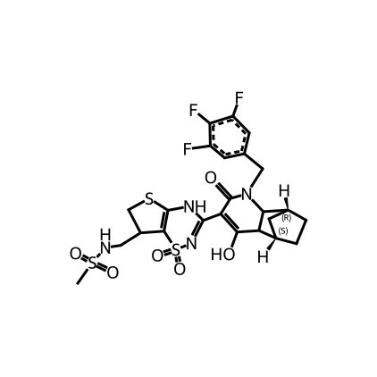 CS(=O)(=O)NCC1CSC2=C1S(=O)(=O)N=C(C1=C(O)C3C([C@@H]4CC[C@H]3C4)N(Cc3cc(F)c(F)c(F)c3)C1=O)N2